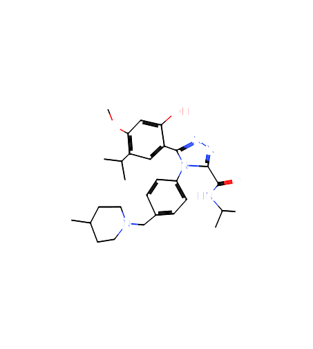 COc1cc(O)c(-c2nnc(C(=O)NC(C)C)n2-c2ccc(CN3CCC(C)CC3)cc2)cc1C(C)C